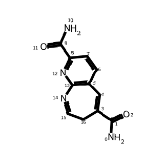 NC(=O)C1=Cc2ccc(C(N)=O)nc2N=CC1